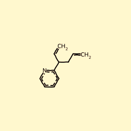 C=CCC(C=C)c1ccccn1